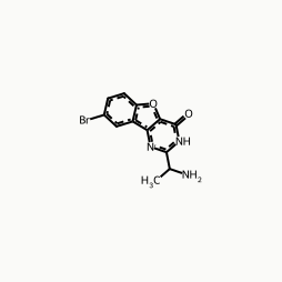 CC(N)c1nc2c(oc3ccc(Br)cc32)c(=O)[nH]1